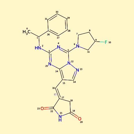 CC(Nc1nc(N2CCC(F)C2)n2ncc(/C=C3\CC(=O)NC3=O)c2n1)c1ccccc1